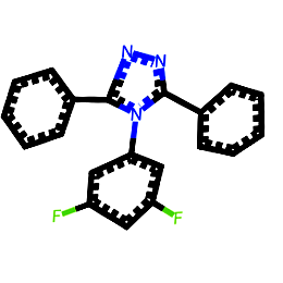 Fc1cc(F)cc(-n2c(-c3ccccc3)nnc2-c2ccccc2)c1